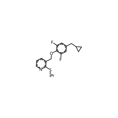 CC(C)Sc1ncccc1COc1c(F)cc(CC2CC2)cc1F